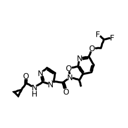 CC1c2ccc(OCC(F)F)nc2ON1C(=O)c1ccnc(NC(=O)C2CC2)n1